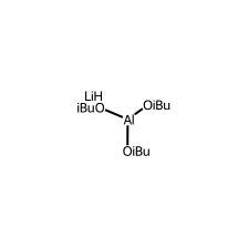 CC(C)C[O][Al]([O]CC(C)C)[O]CC(C)C.[LiH]